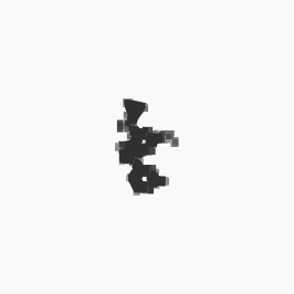 Cc1nccc(-n2cnc3c(NC4CC4)nc(C(F)(F)F)nc32)n1